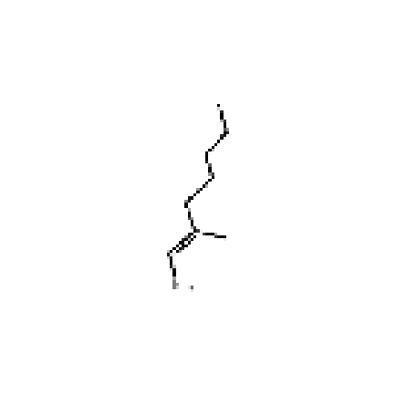 CCCCC/C(C)=C/N